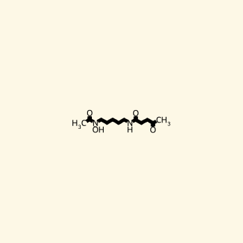 CC(=O)CCC(=O)NCCCCCN(O)C(C)=O